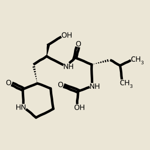 CC(C)C[C@H](NC(=O)O)C(=O)N[C@H](CO)C[C@@H]1CCCNC1=O